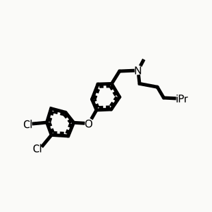 CC(C)CCCN(C)Cc1ccc(Oc2ccc(Cl)c(Cl)c2)cc1